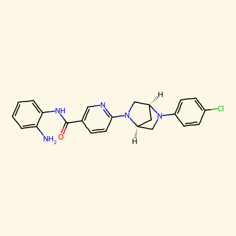 Nc1ccccc1NC(=O)c1ccc(N2C[C@@H]3C[C@H]2CN3c2ccc(Cl)cc2)nc1